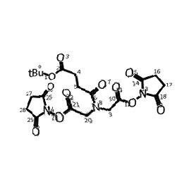 CC(C)(C)OC(=O)CCC(=O)N(CC(=O)ON1C(=O)CCC1=O)CC(=O)ON1C(=O)CCC1=O